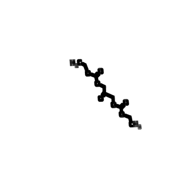 CCOC(=O)OCC(=O)COC(=O)OCC